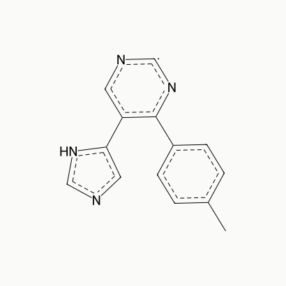 Cc1ccc(-c2n[c]ncc2-c2cnc[nH]2)cc1